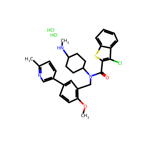 CNC1CCC(N(Cc2cc(-c3ccc(C)nc3)ccc2OC)C(=O)c2sc3ccccc3c2Cl)CC1.Cl.Cl